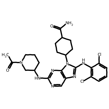 CC(=O)N1CCCC(Nc2ncc3nc(Nc4c(Cl)cccc4Cl)n(C4CCC(C(N)=O)CC4)c3n2)C1